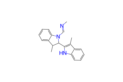 CN=CN1c2ccccc2C(C)C1c1[nH]c2ccccc2c1C